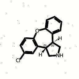 Clc1ccc2c(c1)[C@H]1CNC[C@@H]1c1ccccc1O2